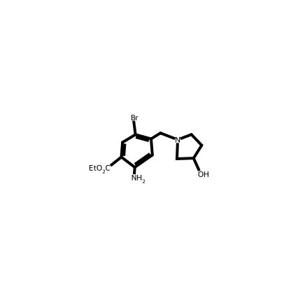 CCOC(=O)c1cc(Br)c(CN2CCC(O)C2)cc1N